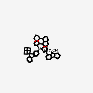 CC1(C)c2ccccc2-c2cccc(-c3cccc(N(c4ccc5c(c4)C4(c6ccccc6-5)C5CC6CC7CC4C675)c4ccccc4-c4cccc5cccc(C6CCCCC6)c45)c3)c21